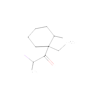 CCCCC(I)C(=O)C1(COC)CCCCC1C